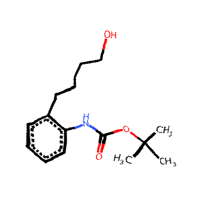 CC(C)(C)OC(=O)Nc1ccccc1CCCCO